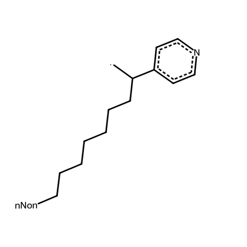 [CH2]C(CCCCCCCCCCCCCCCC)c1ccncc1